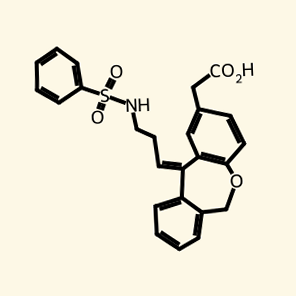 O=C(O)Cc1ccc2c(c1)/C(=C\CCNS(=O)(=O)c1ccccc1)c1ccccc1CO2